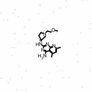 COCCN1CC[C@@H](Nc2nc(N)c3c(C)cc(C)nc3n2)C1